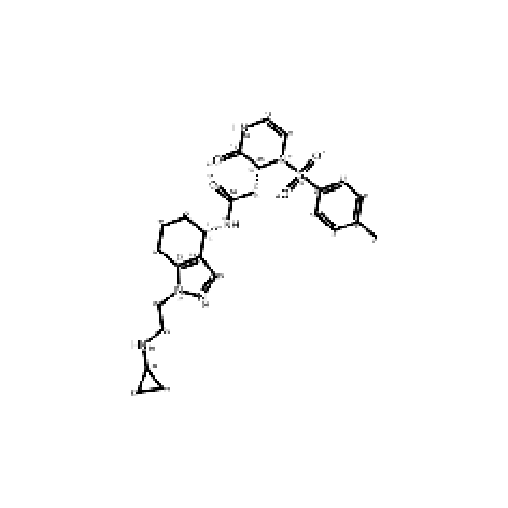 Cc1ccc(S(=O)(=O)N2C=CNC(=O)[C@H]2CC(=O)N[C@H]2CCCc3c2cnn3CCNC2CC2)cc1